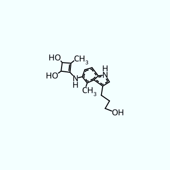 CC1=C(Nc2ccc3[nH]cc(CCCO)c3c2C)C(O)C1O